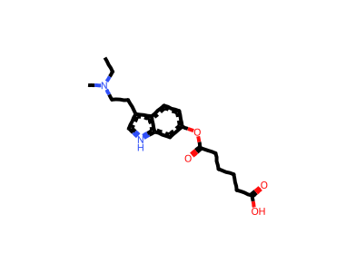 CCN(C)CCc1c[nH]c2cc(OC(=O)CCCCC(=O)O)ccc12